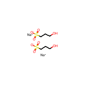 O=S(=O)([O-])CCCO.O=S(=O)([O-])CCCO.[Na+].[Na+]